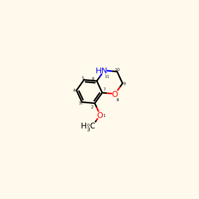 COc1[c]ccc2c1OCCN2